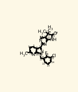 Cc1ccc2c(-c3nnc4c(n3)NC(=O)C4(C)C)nn(Cc3cccc(Cl)c3F)c2n1